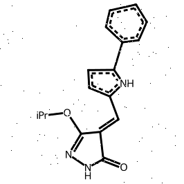 CC(C)OC1=NNC(=O)C1=Cc1ccc(-c2ccccc2)[nH]1